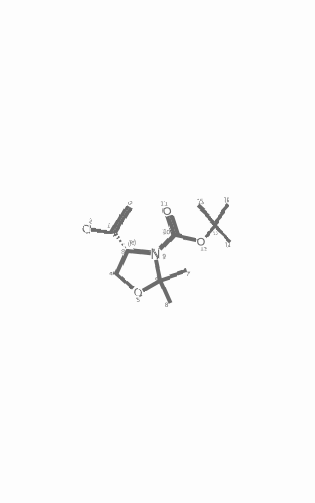 C=C(Cl)[C@H]1COC(C)(C)N1C(=O)OC(C)(C)C